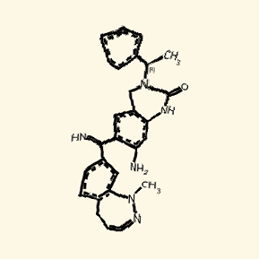 C[C@H](c1ccccc1)N1Cc2cc(C(=N)c3ccc4c(c3)N(C)N=C=CC4)c(N)cc2NC1=O